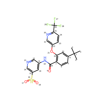 CC(C)(C)c1ccc(C(=O)Nc2cncc([SH](=O)=O)c2)c(Oc2ccc(C(F)(F)F)nc2)c1